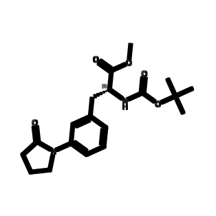 COC(=O)[C@@H](Cc1cccc(N2CCCC2=O)c1)NC(=O)OC(C)(C)C